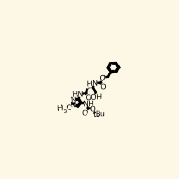 Cn1cc(NC(=O)OC(C)(C)C)c(NC(=O)C[C@@H](CO)NC(=O)OCc2ccccc2)n1